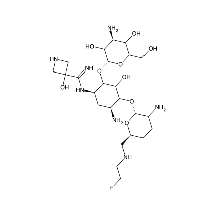 N=C(N[C@@H]1C[C@H](N)C(O[C@H]2O[C@H](CNCCF)CCC2N)C(O)C1O[C@H]1OC(CO)C(O)[C@H](N)C1O)C1(O)CNC1